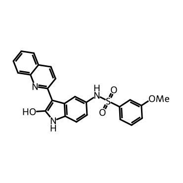 COc1cccc(S(=O)(=O)Nc2ccc3[nH]c(O)c(-c4ccc5ccccc5n4)c3c2)c1